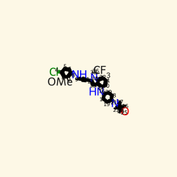 COc1cc(Cl)ccc1NCC#Cc1cc2c(N[C@H]3CC[C@H](N4CC5(COC5)C4)CC3)cccc2n1CC(F)(F)F